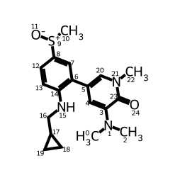 CN(C)c1cc(-c2cc([S+](C)[O-])ccc2NCC2CC2)cn(C)c1=O